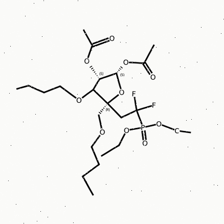 CCCCOC[C@@]1(CC(F)(F)P(=O)(OCC)OCC)O[C@@H](OC(C)=O)[C@@H](OC(C)=O)C1OCCCC